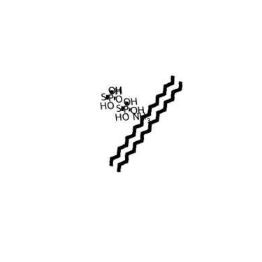 CCCCCCCCCCCCCCCCCC.CCCCCCCCCCCCCCCCCC.N.OP(O)(O)=S.OP(O)(O)=S